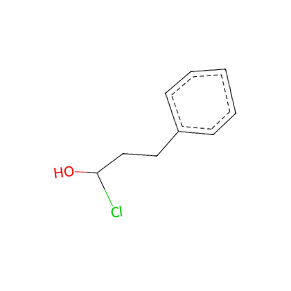 OC(Cl)CCc1ccccc1